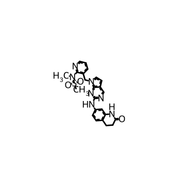 CN(c1ncccc1Cn1ccc2cnc(Nc3ccc4c(c3)NC(=O)CC4)nc21)S(C)(=O)=O